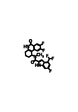 CN(C(=O)c1cc2c(C(F)F)cc(F)cc2[nH]1)C1CCCc2[nH]c(=O)c3cc(F)c(F)cc3c21